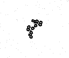 CC1(C)c2ccccc2-c2ccc(N(c3ccc(-c4ccc(N(c5cccc6ccccc56)c5cccc6c5oc5ccccc56)cc4)cc3)c3cccc4ccccc34)cc21